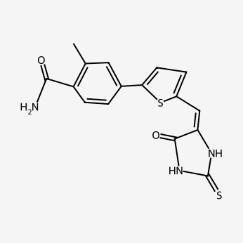 Cc1cc(-c2ccc(C=C3NC(=S)NC3=O)s2)ccc1C(N)=O